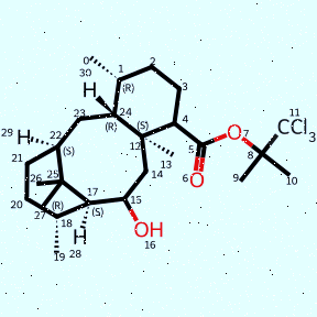 C[C@@H]1CCC(C(=O)OC(C)(C)C(Cl)(Cl)Cl)[C@@]2(C)CC(O)[C@H]3[C@H](C)CC[C@@H](C[C@H]12)C3(C)C